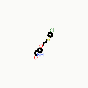 O=c1ccc2cc(OCCCCSc3ccc(Cl)cc3)ccc2[nH]1